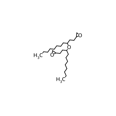 CCCCCCCCC(CCC1CO1)OC(CCCCCCCC)CCC1CO1